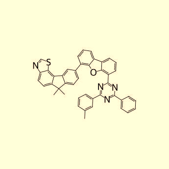 Cc1cccc(-c2nc(-c3ccccc3)nc(-c3cccc4c3oc3c(-c5ccc6c(c5)-c5c(ccc7ncsc57)C6(C)C)cccc34)n2)c1